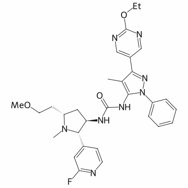 CCOc1ncc(-c2nn(-c3ccccc3)c(NC(=O)N[C@@H]3C[C@@H](CCOC)N(C)[C@H]3c3ccnc(F)c3)c2C)cn1